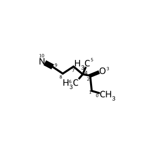 CCC(=O)C(C)(C)CCC#N